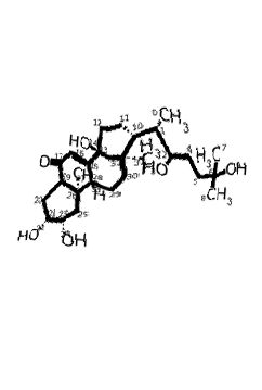 C[C@H]([C@H](O)CCC(C)(C)O)[C@H]1CC[C@@]2(O)C3=CC(=O)C4C[C@@H](O)[C@@H](O)C[C@]4(C)[C@H]3CC[C@]12C